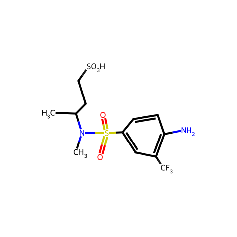 CC(CCS(=O)(=O)O)N(C)S(=O)(=O)c1ccc(N)c(C(F)(F)F)c1